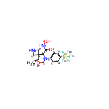 C=CC1([C@@H](C(=O)NO)N(C=O)c2ccc(S(F)(F)(F)(F)F)cc2)CNC1